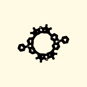 Cc1c(C)c2c(C)c3c1oc1c(C)c(C)c(c(C)c13)c1ccc3c(c1)c1cc(ccc1n3-c1ccccc1)c1c(C)c(C)c3oc4c(C)c(C)c(c(C)c4c3c1C)c1ccc3c(c1)c1cc2ccc1n3-c1ccccc1